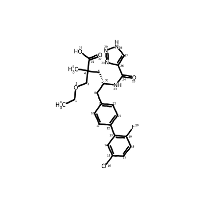 CCOCC(C)(C[C@@H](Cc1ccc(-c2cc(Cl)ccc2F)cc1)NC(=O)c1c[nH]nn1)C(=O)O